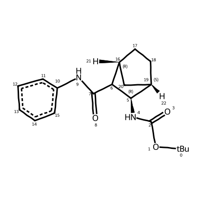 CC(C)(C)OC(=O)N[C@H]1C(C(=O)Nc2ccccc2)[C@@H]2CC[C@H]1C2